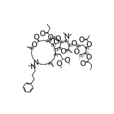 CCC(=O)O[C@@H]1CC(=O)O[C@H](C)CCN(N(C)CCCc2ccccc2)CC[C@H](C)C[C@H](CC(OC)OC)[C@H]([C@@H]2O[C@H](C)[C@@H](O[C@@H]3C[C@@](C)(OC(C)=O)[C@@H](OC(=O)CC)[C@H](C)O3)[C@H](N(C)C)[C@H]2O)[C@@H]1OC